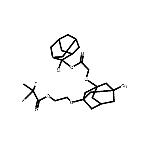 CCC1(OC(=O)COC23CC4CC(O)(CC(OCCOC(=O)C(C)(F)F)(C4)C2)C3)C2CC3CC(C2)CC1C3